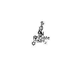 COc1cnc2c(ccn2COCCS(C)(C)C)c1-c1ccnc(C2(CN)Cc3ccccc3C2)c1